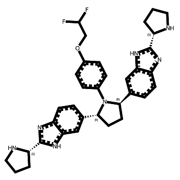 FC(F)COc1ccc(N2[C@@H](c3ccc4nc([C@@H]5CCCN5)[nH]c4c3)CC[C@@H]2c2ccc3nc([C@@H]4CCCN4)[nH]c3c2)cc1